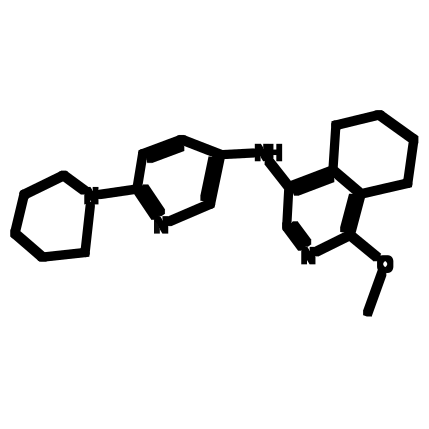 COc1ncc(Nc2ccc(N3CCCCC3)nc2)c2c1CCCC2